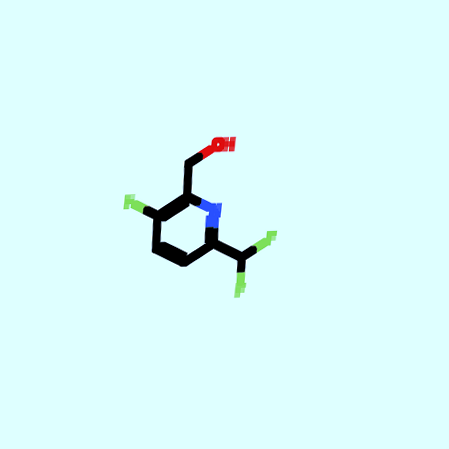 OCc1nc(C(F)F)ccc1F